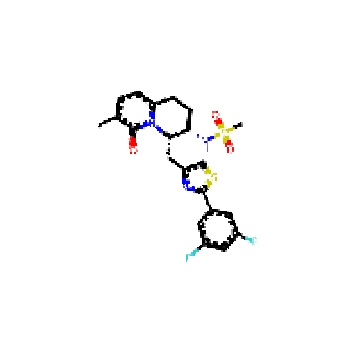 Cc1ccc2n(c1=O)[C@@H](Cc1csc(-c3cc(F)cc(F)c3)n1)[C@@H](NS(C)(=O)=O)CC2